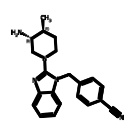 C[C@H]1CCN(c2nc3ccccc3n2Cc2ccc(C#N)cc2)C[C@@H]1N